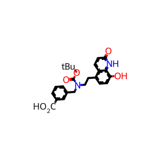 CC(C)(C)OC(=O)N(CCc1ccc(O)c2[nH]c(=O)ccc12)Cc1cccc(C(=O)O)c1